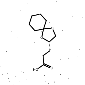 O=C(O)CC[C@H]1COC2(CCCCC2)O1